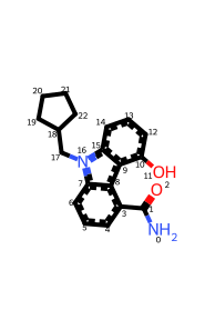 NC(=O)c1cccc2c1c1c(O)cccc1n2CC1CCCC1